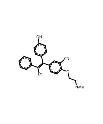 CCC(=C(c1ccc(O)cc1)c1ccc(OCCNC)c(C#N)c1)c1ccccc1